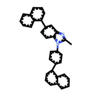 Cc1nc2cc(-c3cccc4ccccc34)ccc2n1-c1ccc(-c2cccc3ccccc23)cc1